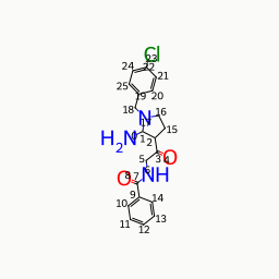 NC1C(C(=O)CNC(=O)c2ccccc2)CCN1Cc1ccc(Cl)cc1